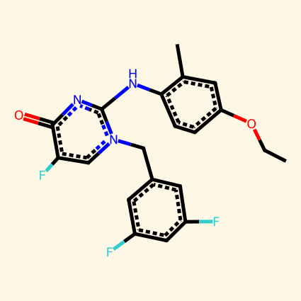 CCOc1ccc(Nc2nc(=O)c(F)cn2Cc2cc(F)cc(F)c2)c(C)c1